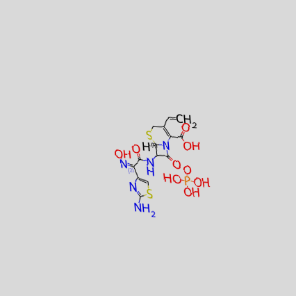 C=CC1=C(C(=O)O)N2C(=O)C(NC(=O)/C(=N\O)c3csc(N)n3)[C@H]2SC1.O=P(O)(O)O